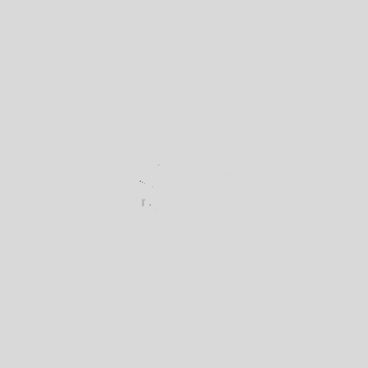 C=CCCC[C@](C)(NCC)C(=O)CC